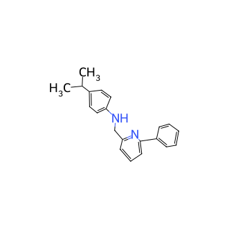 CC(C)c1ccc(NCc2cccc(-c3ccccc3)n2)cc1